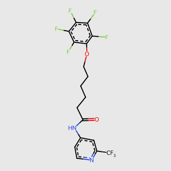 O=C(CCCCCOc1c(F)c(F)c(F)c(F)c1F)Nc1ccnc(C(F)(F)F)c1